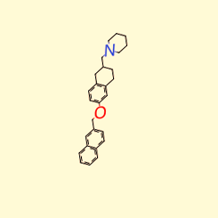 c1ccc2cc(COc3ccc4c(c3)CCC(CN3CCCCC3)C4)ccc2c1